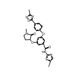 Cc1noc(-c2ccc(Oc3cc(OC4CCN(C)C4=O)cc(C(=O)Nc4ncc(F)s4)c3)cc2)n1